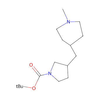 CN1CCC(CC2CCN(C(=O)OC(C)(C)C)C2)CC1